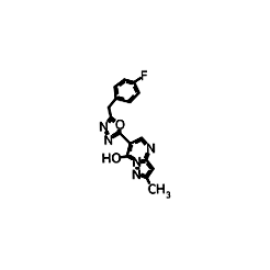 Cc1cc2ncc(-c3nnc(Cc4ccc(F)cc4)o3)c(O)n2n1